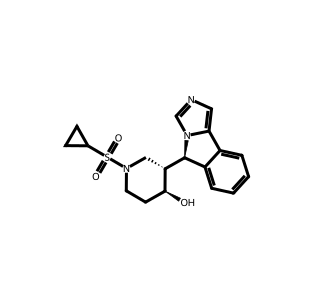 O=S(=O)(C1CC1)N1CC[C@H](O)[C@@H]([C@@H]2c3ccccc3-c3cncn32)C1